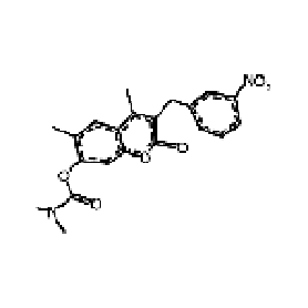 Cc1cc2c(C)c(Cc3cccc([N+](=O)[O-])c3)c(=O)oc2cc1OC(=O)N(C)C